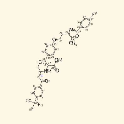 CC/C(=C/C(=O)c1ccc(C(F)(F)F)cc1)NC(Cc1ccc(OCCc2nc(-c3ccc(F)cc3)oc2C)cc1)C(=O)O